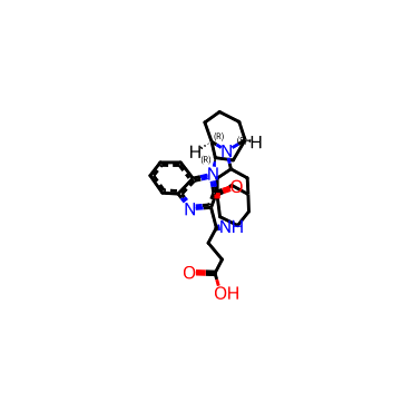 N=C(CCC(=O)O)c1nc2ccccc2n([C@@H]2C[C@@H]3CCC[C@H]2N3C2CC3CCCC(C3)C2)c1=O